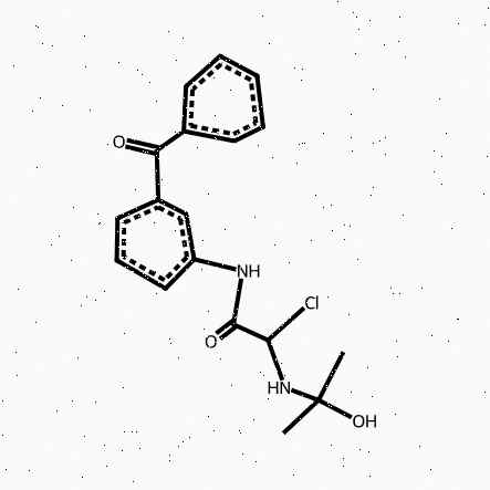 CC(C)(O)NC(Cl)C(=O)Nc1cccc(C(=O)c2ccccc2)c1